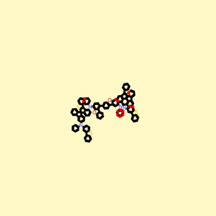 c1ccc(N(c2ccc3c(c2)-c2ccccc2C32c3cccc(N(c4ccccc4)c4ccc(-c5ccc6c(c5)oc5ccc(N(c7ccccc7)C7(N(c8ccccc8)c8ccc9sc%10ccccc%10c9c8)c8cccc9c8C8(c%10ccccc%10-9)c9sc%10ccccc%10c9-c9cccc7c98)cc56)c5c4oc4ccccc45)c3-c3c2sc2ccccc32)c2ccc3sc4ccccc4c3c2)cc1